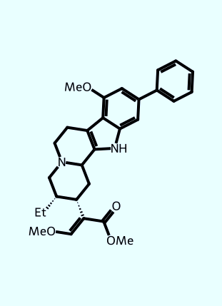 CC[C@@H]1CN2CCc3c([nH]c4cc(-c5ccccc5)cc(OC)c34)C2C[C@@H]1/C(=C\OC)C(=O)OC